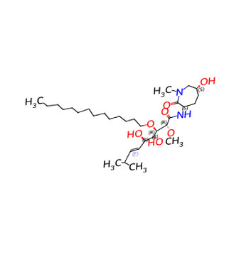 CCCCCCCCCCCCCCO[C@H]([C@@H](O)[C@H](O)/C=C/C(C)C)[C@@H](OC)C(=O)N[C@H]1CC[C@H](O)CN(C)C1=O